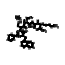 CC(C)C[C@H](NC(=O)[C@H](Cc1cccc2ccccc12)NC(=O)c1cccnc1)C(=O)N[C@@H](CC(C)C)[C@@H](O)CC(=O)N[C@@H](CCCCN)C(N)=O.Cl.Cl